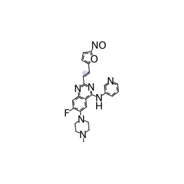 CN1CCN(c2cc3c(Nc4cccnc4)nc(/C=C/c4ccc(N=O)o4)nc3cc2F)CC1